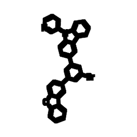 Brc1cc(-c2ccc3oc4ccccc4c3c2)cc(-c2ccc3c(c2)c2ccccc2n3-c2cccnc2)c1